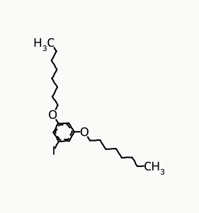 CCCCCCCCOc1cc(I)cc(OCCCCCCCC)c1